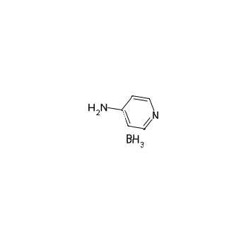 B.Nc1ccncc1